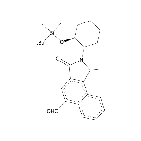 CC1c2c(cc(C=O)c3ccccc23)C(=O)N1[C@H]1CCCC[C@@H]1O[Si](C)(C)C(C)(C)C